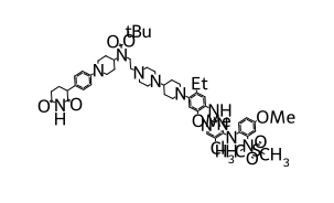 CCc1cc(Nc2ncc(Cl)c(Nc3ccc(OC)cc3N(C)S(C)(=O)=O)n2)c(OC)cc1N1CCC(N2CCN(CCN(C(=O)OC(C)(C)C)C3CCN(c4ccc(C5CCC(=O)NC5=O)cc4)CC3)CC2)CC1